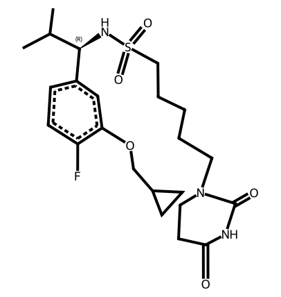 CC(C)[C@@H](NS(=O)(=O)CCCCCN1CCC(=O)NC1=O)c1ccc(F)c(OCC2CC2)c1